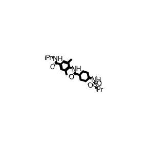 Cc1cc(C(=O)NC(C)C)cc(C)c1NC(=O)C1CCC(NS(=O)(=O)C(C)C)CC1